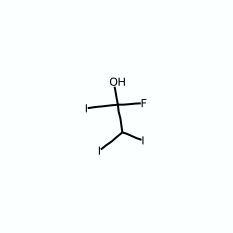 OC(F)(I)C(I)I